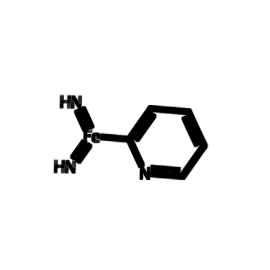 [NH]=[Fe](=[NH])[c]1ccccn1